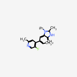 C=C1NC(C)N(C(C)C)/C1=C/C(=C\C)c1cc(C)ncc1F